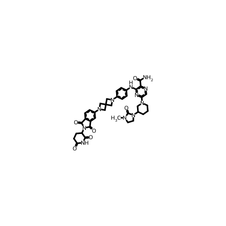 CN1CCN(C2CCCN(c3cnc(C(N)=O)c(Nc4ccc(N5CC6(C5)CN(c5ccc7c(c5)C(=O)N(C5CCC(=O)NC5=O)C7=O)C6)cc4)n3)C2)C1=O